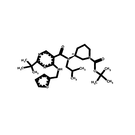 CC(C)CN(C(=O)c1cnc(C(C)(C)C)nc1NCc1ccco1)[C@H]1CCCN(C(=O)OC(C)(C)C)C1